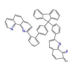 c1cc(-c2ccc3ccc4cccnc4c3n2)cc(C2(c3ccc(-c4ccccc4-c4ccc5ccc6cccnc6c5n4)cc3)c3ccccc3-c3ccccc32)c1